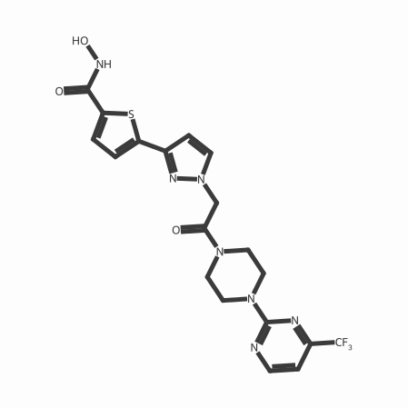 O=C(NO)c1ccc(-c2ccn(CC(=O)N3CCN(c4nccc(C(F)(F)F)n4)CC3)n2)s1